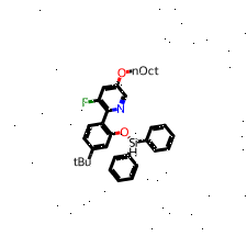 CCCCCCCCOc1cnc(-c2ccc(C(C)(C)C)cc2O[SiH](c2ccccc2)c2ccccc2)c(F)c1